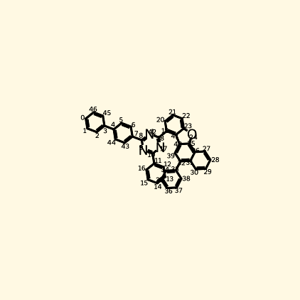 c1ccc(-c2ccc(-c3nc(-c4ccccc4)nc(-c4cccc5oc6c7ccccc7c(-c7ccccc7)cc6c45)n3)cc2)cc1